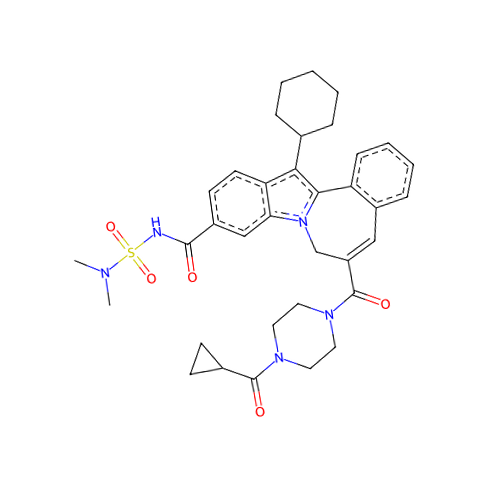 CN(C)S(=O)(=O)NC(=O)c1ccc2c(C3CCCCC3)c3n(c2c1)CC(C(=O)N1CCN(C(=O)C2CC2)CC1)=Cc1ccccc1-3